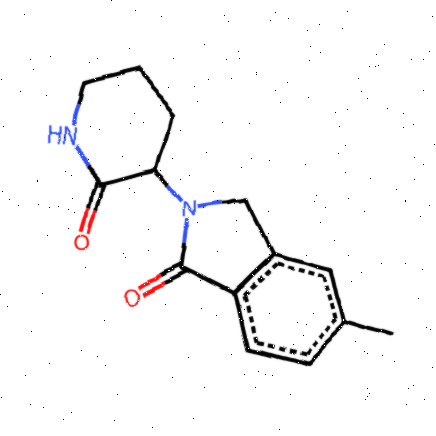 Cc1ccc2c(c1)CN(C1CCCNC1=O)C2=O